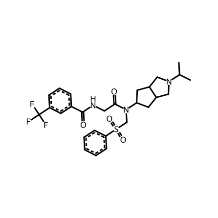 CC(C)N1CC2CC(N(CS(=O)(=O)c3ccccc3)C(=O)CNC(=O)c3cccc(C(F)(F)F)c3)CC2C1